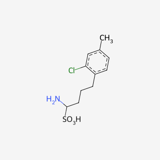 Cc1ccc(CCCC(N)S(=O)(=O)O)c(Cl)c1